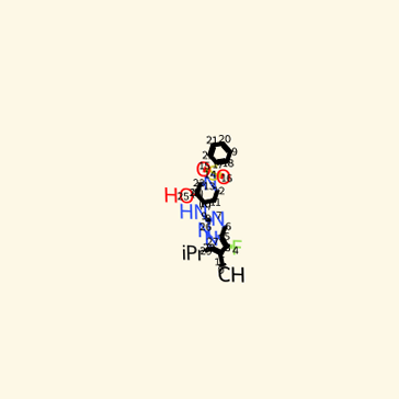 C#Cc1c(F)c2cnc(N[C@@H]3CCN(S(=O)(=O)c4ccccc4)C[C@H]3O)nn2c1C(C)C